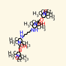 CCON1C(C)(C)CC(OCC(O)CN2C(C)(C)CC(NCCCCCCNC3CC(C)(C)N(CC(O)COC4CC(C)(C)N(OCC)C(C)(C)C4)C(C)(C)C3)CC2(C)C)CC1(C)C